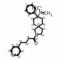 CN(C)[C@]1(c2ccccc2)CC[C@]2(CCN(C(=O)CCCc3ccncc3)C2)CC1